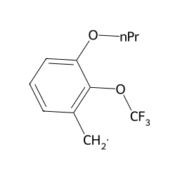 [CH2]c1cccc(OCCC)c1OC(F)(F)F